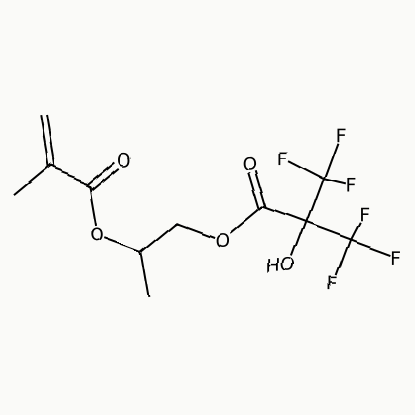 C=C(C)C(=O)OC(C)COC(=O)C(O)(C(F)(F)F)C(F)(F)F